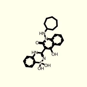 O=c1c(C2=NS(O)(O)c3ccccc3N2)c(O)c2ccccc2n1NC1CCCCCC1